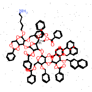 NCCCCCOC1OC2COC(c3ccccc3)OC2C(OC2OC([C@@H](COC(=O)c3ccccc3)OC(=O)c3ccccc3)C(OC3OC(COC(=O)c4ccccc4)C(OCc4ccccc4)C(OC4OC(COCc5ccccc5)C(OCc5ccccc5)C(OCc5ccc6ccccc6c5)C4OC(=O)c4ccccc4)C3OCc3ccccc3)C2OC(=O)c2ccccc2)C1OCc1ccccc1